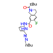 CCCC/C=N/N=C/C1=CC=CC(NC(=O)c2cc3c(cc2F)CCN(C(=O)C(C)(C)C)C3)N1